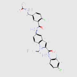 CC(C)C(=O)NCc1ccc(Cl)c(C(=O)Nc2ccc3c(c2)cc(C(=O)Nc2ccc(Cl)cc2F)n3CC(F)(F)F)c1